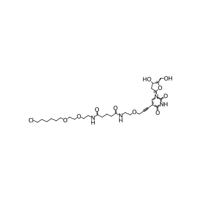 O=C(CCCC(=O)NCCOCCOCCCCCCCl)NCCOCC#Cc1cn([C@H]2CC(O)[C@@H](CO)O2)c(=O)[nH]c1=O